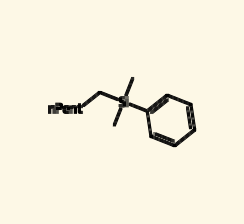 CCCCCC[Si](C)(C)c1ccccc1